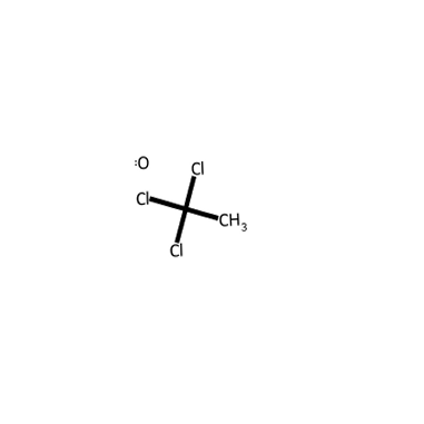 CC(Cl)(Cl)Cl.[O]